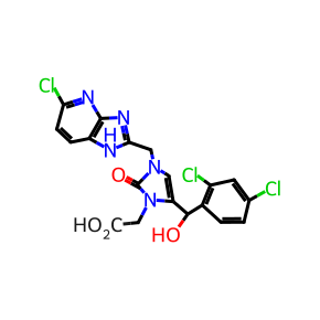 O=C(O)Cn1c(C(O)c2ccc(Cl)cc2Cl)cn(Cc2nc3nc(Cl)ccc3[nH]2)c1=O